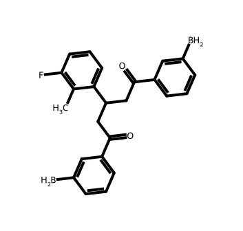 Bc1cccc(C(=O)CC(CC(=O)c2cccc(B)c2)c2cccc(F)c2C)c1